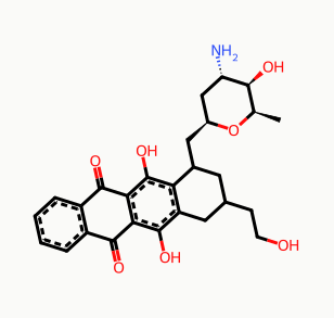 C[C@H]1O[C@@H](CC2CC(CCO)Cc3c(O)c4c(c(O)c32)C(=O)c2ccccc2C4=O)C[C@H](N)[C@H]1O